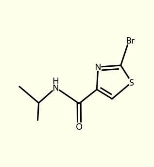 CC(C)NC(=O)c1csc(Br)n1